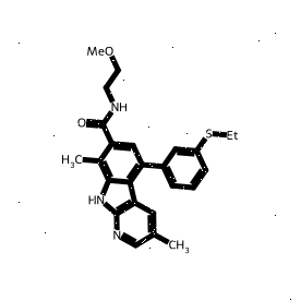 CCSc1cccc(-c2cc(C(=O)NCCOC)c(C)c3[nH]c4ncc(C)cc4c23)c1